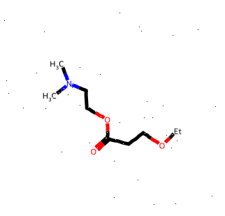 CCOCCC(=O)OCCN(C)C